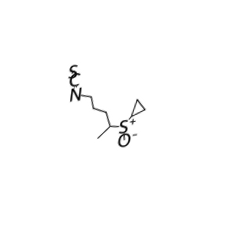 CC(CCCN=C=S)[S+]([O-])C1CC1